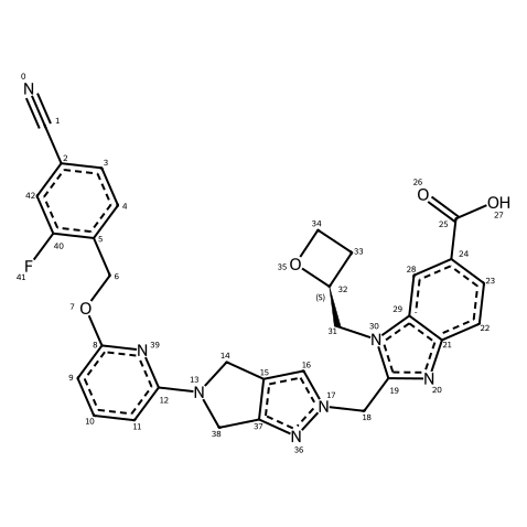 N#Cc1ccc(COc2cccc(N3Cc4cn(Cc5nc6ccc(C(=O)O)cc6n5C[C@@H]5CCO5)nc4C3)n2)c(F)c1